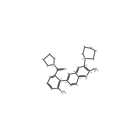 Cc1cccc(C(=O)N2CCCC2)c1-c1ccc2nc(N)c(N3CCCCC3)cc2c1